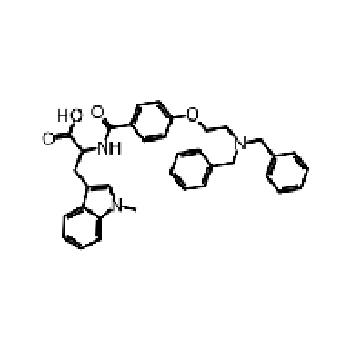 Cn1cc(CC(NC(=O)c2ccc(OCCN(Cc3ccccc3)Cc3ccccc3)cc2)C(=O)O)c2ccccc21